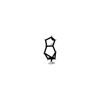 OC1C2C=CC1C1CC=CC21